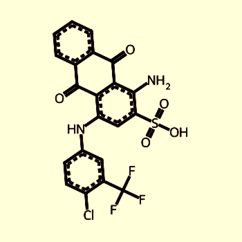 Nc1c(S(=O)(=O)O)cc(Nc2ccc(Cl)c(C(F)(F)F)c2)c2c1C(=O)c1ccccc1C2=O